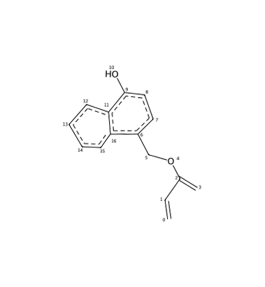 C=CC(=C)OCc1ccc(O)c2ccccc12